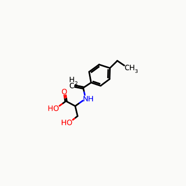 C=C(NC(CO)C(=O)O)c1ccc(CC)cc1